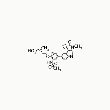 CN(CCOc1ncc(-c2ccc3ncc4c(c3c2)C2(CCC2)C(=O)N4C)cc1NS(C)(=O)=O)C(=O)O